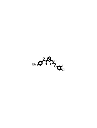 CCOc1ccc(C(=O)NC2CC(NC(=O)COc3ccc(Cl)c(F)c3)C3CC2C3)cc1